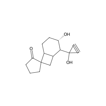 O=C1CCCC12CC1C(C3(O)C#C3)[C@@H](O)CCC12